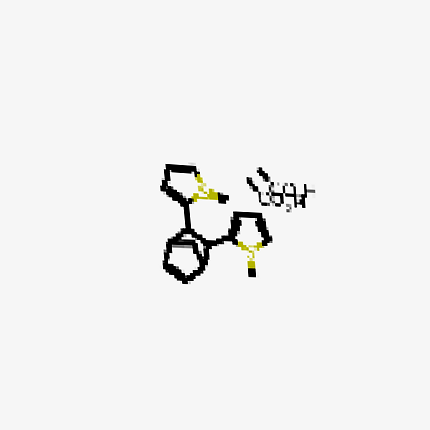 C=S1C=CC=C1C1C2C=CC(C2)C1C1=CC=CS1=C.CC(=O)O.CC(=O)O